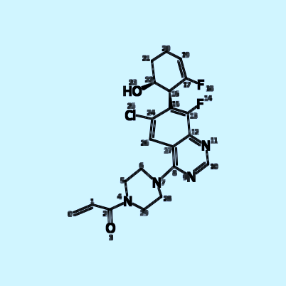 C=CC(=O)N1CCN(c2ncnc3c(F)c([C@@H]4C(F)=CCC[C@@H]4O)c(Cl)cc23)CC1